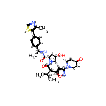 Cc1ncsc1-c1ccc([C@H](C)NC(=O)[C@@H]2C[C@@H](O)CN2C(=O)[C@@H](c2cc(N3CCC(=O)CC3)no2)C(C)C)cc1